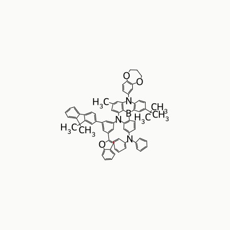 Cc1cc2c3c(c1)N(c1cc(-c4ccc5c(c4)C(C)(C)c4ccccc4-5)cc(-c4cc5ccccc5o4)c1)c1cc(N(c4ccccc4)c4ccccc4)ccc1B3c1cc(C(C)(C)C)ccc1N2c1ccc2c(c1)OCCCO2